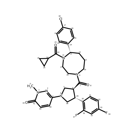 Cn1nc(N2C[C@@H](C(=O)N3CCC[C@@H](c4ccc(Cl)cc4)N(C(=O)C4CC4)CC3)[C@H](c3ccc(F)cc3F)C2)ccc1=O